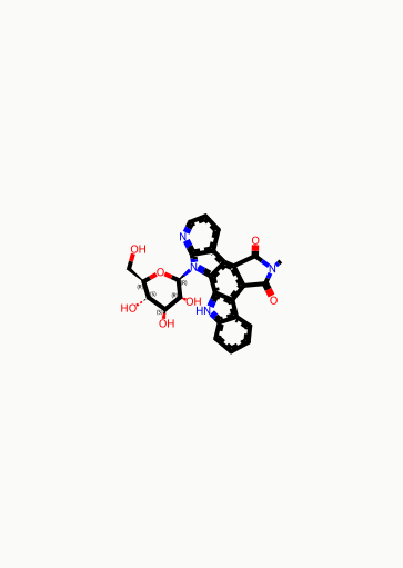 CN1C(=O)c2c(c3c4cccnc4n([C@@H]4O[C@H](CO)[C@@H](O)[C@H](O)[C@H]4O)c3c3[nH]c4ccccc4c23)C1=O